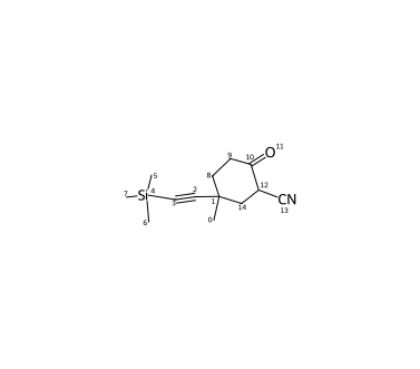 CC1(C#C[Si](C)(C)C)CCC(=O)C(C#N)C1